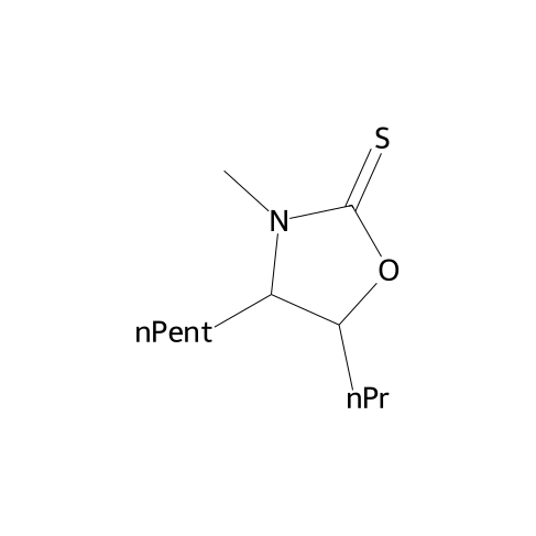 CCCCCC1C(CCC)OC(=S)N1C